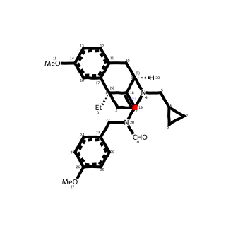 CC[C@]12CCN(CC3CC3)[C@H](Cc3ccc(OC)cc31)/C2=C/N(C=O)Cc1ccc(OC)cc1